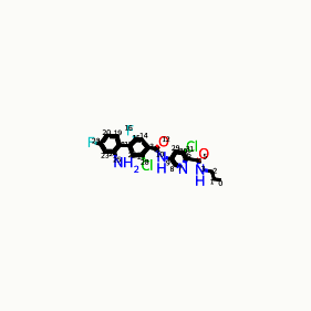 CCCNC(=O)c1ncc(NC(=O)c2cc(F)c(-c3ccc(F)cc3N)cc2Cl)cc1Cl